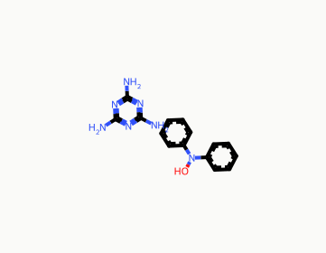 Nc1nc(N)nc(N)n1.ON(c1ccccc1)c1ccccc1